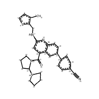 Cc1ccsc1CNc1cc(C(=O)N2CCCC2N2CCCC2)c2cc(-c3ccc(C#N)cc3)ccc2n1